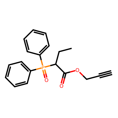 C#CCOC(=O)C(CC)P(=O)(c1ccccc1)c1ccccc1